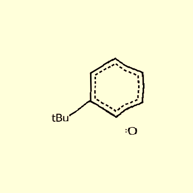 CC(C)(C)c1ccccc1.[O]